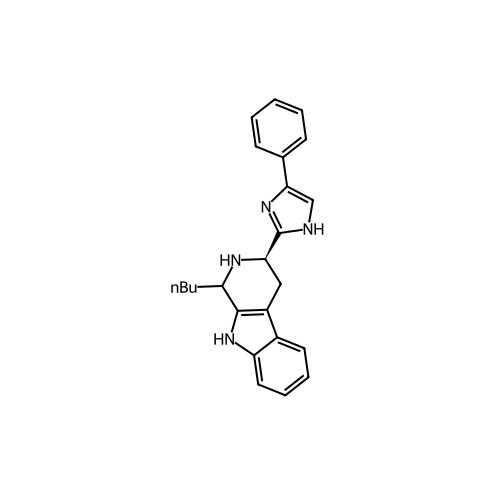 CCCCC1N[C@@H](c2nc(-c3ccccc3)c[nH]2)Cc2c1[nH]c1ccccc21